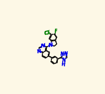 Fc1cc2c(cc1Cl)N(c1ncnc3ccc(-c4cccc(-c5nnc[nH]5)c4)cc13)CC2